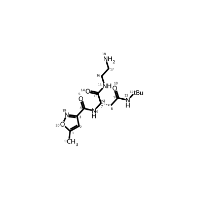 Cc1cc(C(=O)N[C@@H](CC(=O)NC(C)(C)C)C(=O)NCCN)no1